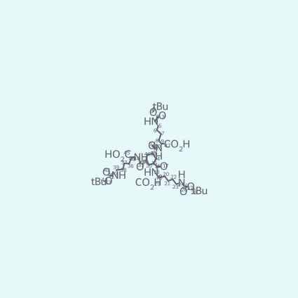 CC(C)(C)OC(=O)NCCCCC(NC(=O)[C@@H]1CC(C(=O)N[C@@H](CCCCNC(=O)OC(C)(C)C)C(=O)O)C[C@H](C(=O)N[C@@H](CCCCNC(=O)OC(C)(C)C)C(=O)O)C1)C(=O)O